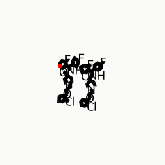 O=C(NC(c1ccc(F)cc1)c1ccccc1F)C1CCN(CCOc2ccccc2Cl)CC1.O=C(NC(c1ccc(F)cc1)c1ccccc1F)C1CCN(CCOc2ccccc2Cl)CC1